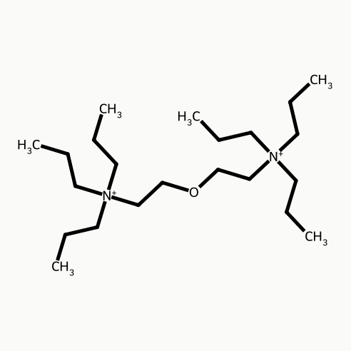 CCC[N+](CCC)(CCC)CCOCC[N+](CCC)(CCC)CCC